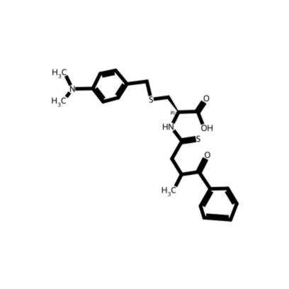 CC(CC(=S)N[C@@H](CSCc1ccc(N(C)C)cc1)C(=O)O)C(=O)c1ccccc1